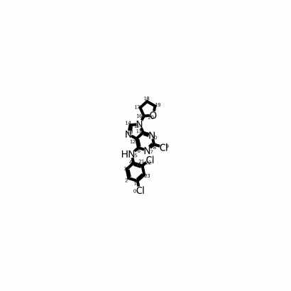 Clc1ccc(Nc2nc(Cl)nc3c2ncn3C2CCCO2)c(Cl)c1